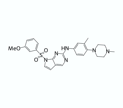 COc1cccc(S(=O)(=O)n2ccc3cnc(Nc4ccc(N5CCN(C)CC5)c(C)c4)nc32)c1